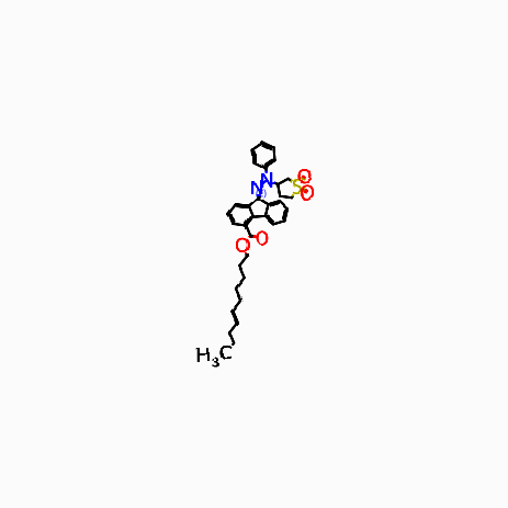 CCCCCCCCCCOC(=O)c1cccc2c1-c1ccccc1/C2=N\N(c1ccccc1)C1CCS(=O)(=O)C1